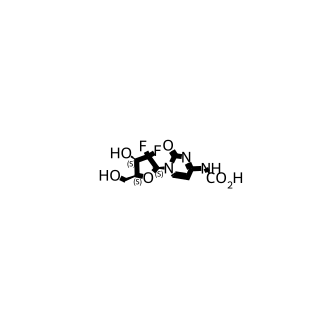 O=C(O)Nc1ccn([C@H]2O[C@@H](CO)[C@H](O)C2(F)F)c(=O)n1